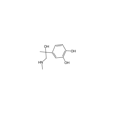 CNCC(C)(O)c1ccc(O)c(O)c1